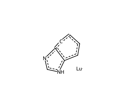 [Lu].c1ccc2[nH]cnc2c1